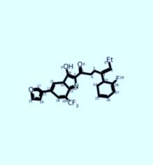 CC/C=C(\CCC(=O)C1=C(O)C2C=C(c3ccoc3)C=C(C(F)(F)F)C2=N1)C1CC=CC=C1F